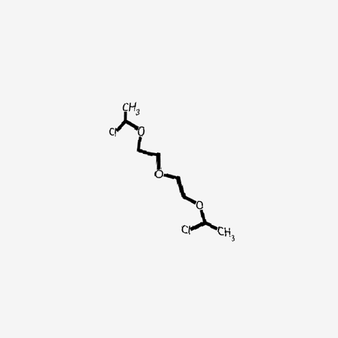 CC(Cl)OCCOCCOC(C)Cl